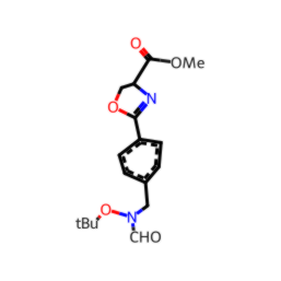 COC(=O)C1COC(c2ccc(CN(C=O)OC(C)(C)C)cc2)=N1